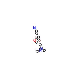 N#Cc1ccc2cc(-c3ccc4c(c3)C3(c5ccccc5Oc5ccccc53)c3cc(-c5ccc(-c6cc(-c7ccccc7)nc(-c7ccccc7)n6)cc5)ccc3-4)ccc2c1